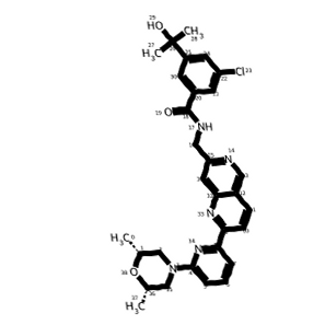 C[C@@H]1CN(c2cccc(-c3ccc4cnc(CNC(=O)c5cc(Cl)cc(C(C)(C)O)c5)cc4n3)n2)C[C@H](C)O1